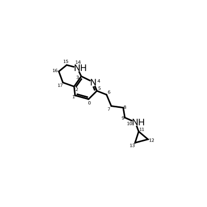 c1cc2c(nc1CCCCNC1CC1)NCCC2